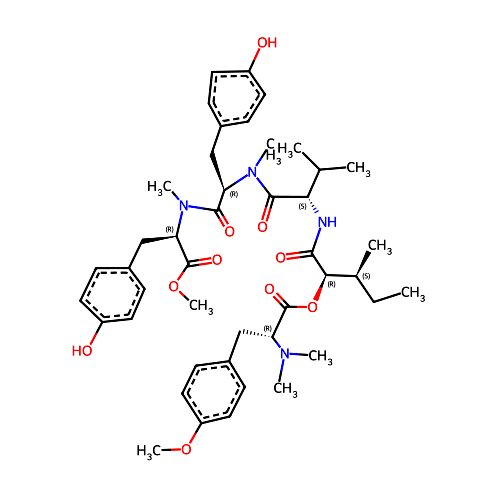 CC[C@H](C)[C@@H](OC(=O)[C@@H](Cc1ccc(OC)cc1)N(C)C)C(=O)N[C@H](C(=O)N(C)[C@H](Cc1ccc(O)cc1)C(=O)N(C)[C@H](Cc1ccc(O)cc1)C(=O)OC)C(C)C